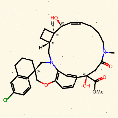 COC(=O)[C@@]1(O)CC(=O)N(C)CCC/C=C\[C@H](O)[C@@H]2CC[C@H]2CN2C[C@@]3(CCCc4cc(Cl)ccc43)COc3ccc1cc32